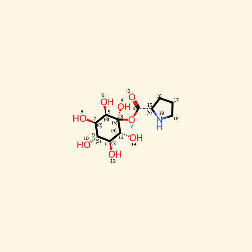 O=C(O[C@]1(O)[C@H](O)[C@H](O)[C@@H](O)[C@H](O)[C@H]1O)[C@@H]1CCCN1